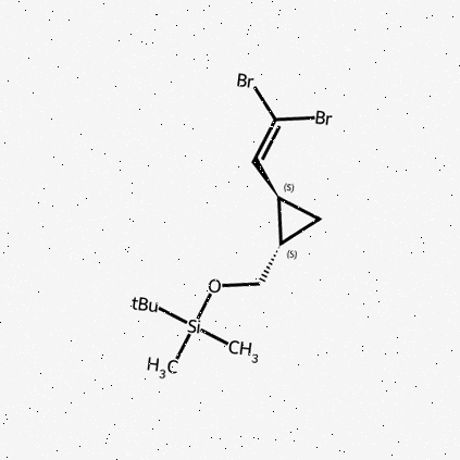 CC(C)(C)[Si](C)(C)OC[C@H]1C[C@@H]1C=C(Br)Br